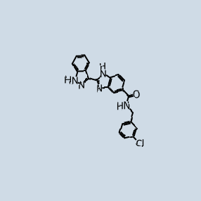 O=C(NCc1cccc(Cl)c1)c1ccc2[nH]c(-c3n[nH]c4ccccc34)nc2c1